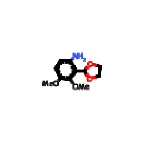 COc1ccc(N)c(C2OCCO2)c1OC